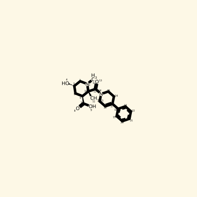 CN1C[C@@H](O)C[C@H](C(=O)O)[C@@]1(C)C(=O)N1CC=C(c2ccccc2)CC1